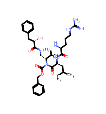 CC(C)C[C@H](NC(=O)[C@@H](N)CCCNC(=N)N)C(=O)N(C(=O)OCc1ccccc1)[C@H](CNC(=O)[C@@H](O)Cc1ccccc1)C(C)C